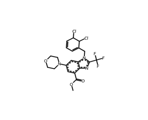 COC(=O)c1cc(N2CCOCC2)cc2c1nc(C(F)(F)F)n2CC1=CC=CC(Cl)C1Cl